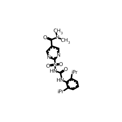 CC(C)c1cccc(C(C)C)c1NC(=O)NS(=O)(=O)c1ncc(C(=O)N(C)C)cn1